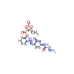 Cc1oc(=O)oc1C(=O)Oc1ccccc1/N=N/c1ccc(NC(=O)CN)nc1N